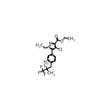 CCOC(=O)c1nn(CC)c(-c2ccc(CC(C)(C)C(F)(F)F)cc2)c1Cl